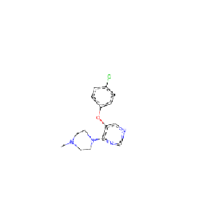 CN1CCN(c2ncncc2Oc2ccc(Cl)cc2)CC1